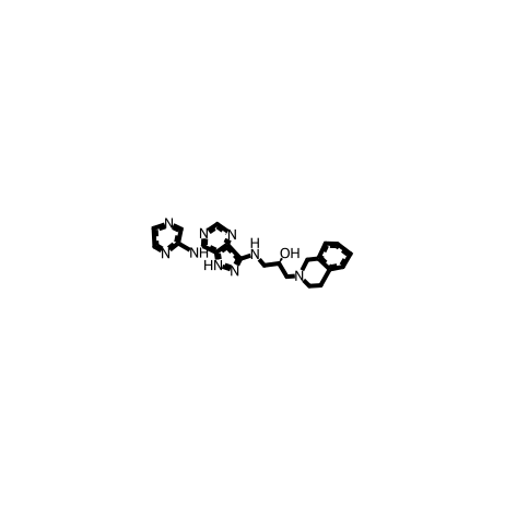 O[C@@H](CNc1n[nH]c2c(Nc3cnccn3)ncnc12)CN1CCc2ccccc2C1